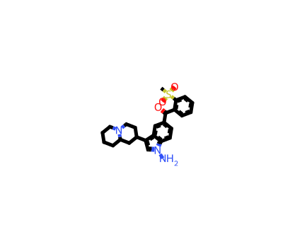 CS(=O)(=O)c1ccccc1C(=O)c1ccc2c(c1)c(C1CCN3CCCCC3C1)cn2N